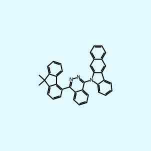 CC1(C)c2ccccc2-c2c(-c3nnc(-n4c5ccccc5c5cc6ccccc6cc54)c4ccccc34)cccc21